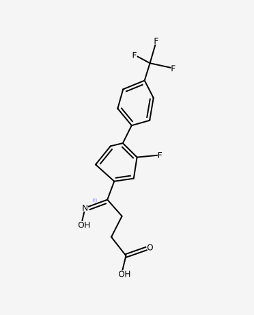 O=C(O)CC/C(=N\O)c1ccc(-c2ccc(C(F)(F)F)cc2)c(F)c1